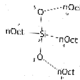 CCCCCCCCO[Si](CCCCCCCC)(CCCCCCCC)OCCCCCCCC